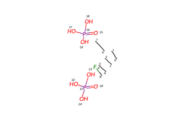 CC.CC.CC.CC.CF.O=P(O)(O)O.O=P(O)(O)O